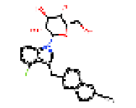 Cc1ccc2cc(Cc3cn([C@@H]4O[C@H](CO)[C@@H](O)[C@H](O)[C@H]4O)c4cccc(F)c34)ccc2c1